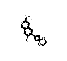 Nc1cc2cc(C3CC4(C3)OCCO4)c(Cl)cc2cn1